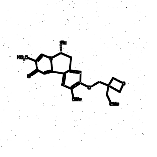 COCC1(COc2cc3c(cc2OC)-c2cc(=O)c(C(=O)O)cn2[C@H](C(C)(C)C)C3)COC1